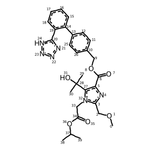 COCc1nc(C(=O)OCc2ccc(-c3ccccc3-c3nnn[nH]3)cc2)c(C(C)(C)O)n1CC(=O)OC(C)C